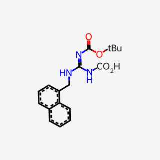 CC(C)(C)OC(=O)N=C(NCc1cccc2ccccc12)NC(=O)O